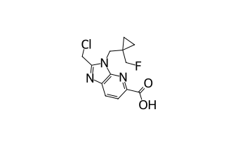 O=C(O)c1ccc2nc(CCl)n(CC3(CF)CC3)c2n1